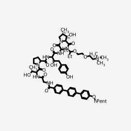 CCCCCOc1ccc(-c2ccc(-c3ccc(C(=O)NCC(=O)NC(C(=O)N4CCCC4C(=O)NC(C(=O)NC(CC)C(=O)N4C[C@H](C)[C@H](O)C4C(=O)NC(CC)OCCOCC[N+](C)(C)C)[C@H](O)Cc4ccc(O)cc4)[C@@H](C)O)cc3)cc2)cc1